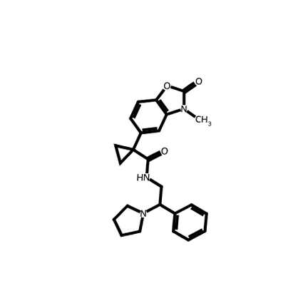 Cn1c(=O)oc2ccc(C3(C(=O)NCC(c4ccccc4)N4CCCC4)CC3)cc21